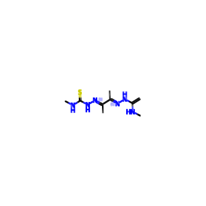 C=C(NC)N/N=C(C)/C(C)=N/NC(=S)NC